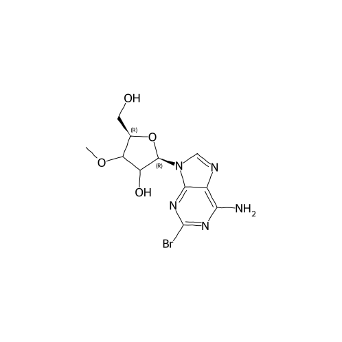 COC1C(O)[C@H](n2cnc3c(N)nc(Br)nc32)O[C@@H]1CO